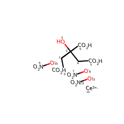 O=C(O)CC(O)(CC(=O)O)C(=O)O.O=[N+]([O-])[O-].O=[N+]([O-])[O-].O=[N+]([O-])[O-].[Ce+3]